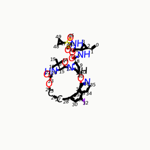 C=C[C@@H]1C[C@]1(NC(=O)[C@@H]1C[C@@H]2CN1C(=O)[C@H](C(C)(C)C)NC(=O)OCCCCCc1cc(I)c3ccnc(c3c1)O2)C(=O)NS(=O)(=O)C1CC1